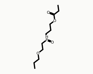 CCCOCC[PH](=O)CCCOC(=O)CC